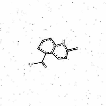 NC(=O)c1cccc2[nH]c(=O)ccc12